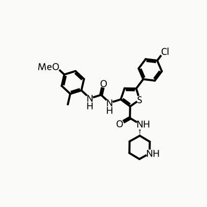 COc1ccc(NC(=O)Nc2cc(-c3ccc(Cl)cc3)sc2C(=O)N[C@H]2CCCNC2)c(C)c1